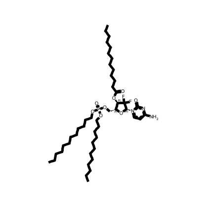 CCCCCCCCCCCCOP(=O)(OCCCCCCCCCCCC)OC[C@H]1O[C@@H](n2ccc(N)nc2=O)C(F)(F)[C@@H]1OC(=O)CCCCCCCCCCCC